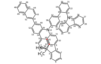 CC1(C)c2ccccc2-c2ccc(N(c3ccc(-c4ccccc4-n4c5ccccc5c5ccccc54)cc3)c3cc(-c4ccc5ccccc5c4)ccc3-c3ccccc3)cc21